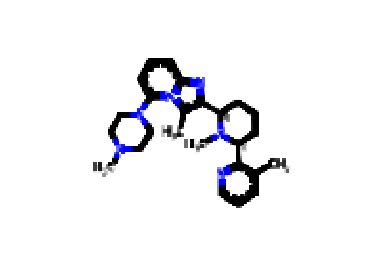 Cc1cccnc1[C@@H]1CCC[C@H](c2nc3cccc(N4CCN(C)CC4)n3c2C)N1C